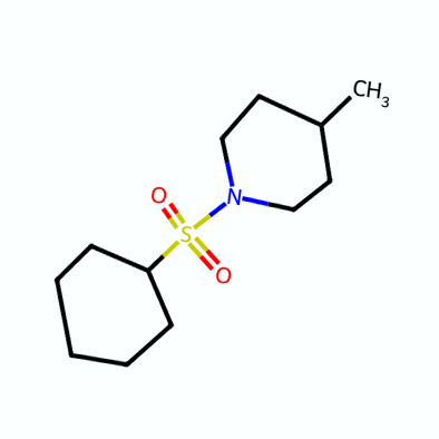 CC1CCN(S(=O)(=O)C2CCCCC2)CC1